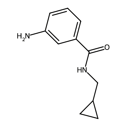 Nc1cccc(C(=O)NCC2CC2)c1